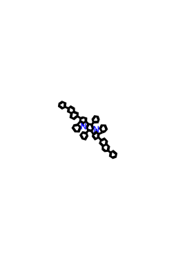 c1ccc(-c2ccc3cc(-c4ccc5c6c(-c7ccccc7)c7c(c(-c8ccccc8)c6n6c8ccccc8c4c56)c4ccc(-c5ccc6cc(-c8ccccc8)ccc6c5)c5c6ccccc6n7c45)ccc3c2)cc1